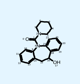 O=C(N1CCCCC1)N1c2ccccc2CC(O)c2ccccc21